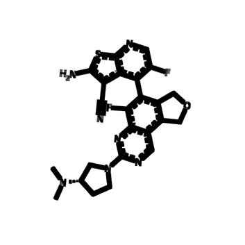 CN(C)[C@H]1CCN(c2ncc3c4c(c(-c5c(F)cnc6sc(N)c(C#N)c56)c(F)c3n2)COC4)C1